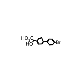 O=C(O)C(O)c1ccc(-c2ccc(Br)cc2)cc1